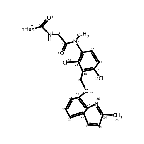 CCCCCCC(=O)NCC(=O)N(C)c1ccc(Cl)c(COc2cccc3ccc(C)nc23)c1Cl